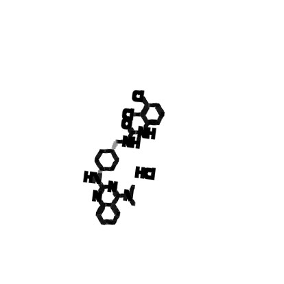 CN(C)c1nc(N[C@H]2CC[C@@H](CNC(=O)Nc3cccc(Cl)c3Cl)CC2)nc2ccccc12.Cl